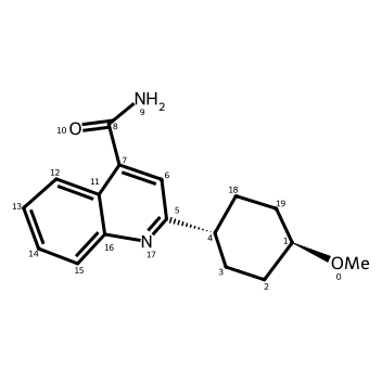 CO[C@H]1CC[C@H](c2cc(C(N)=O)c3ccccc3n2)CC1